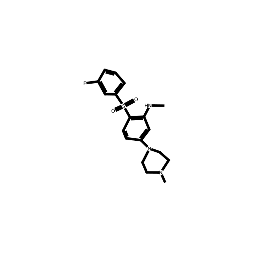 CNc1cc(N2CCN(C)CC2)ccc1S(=O)(=O)c1cccc(F)c1